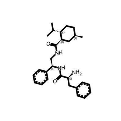 CC(C)[C@@H]1CC[C@@H](C)C[C@H]1C(=O)NC[C@@H](NC(=O)[C@@H](N)Cc1ccccc1)c1ccccc1